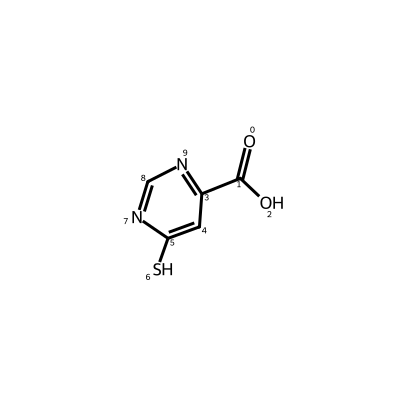 O=C(O)c1cc(S)ncn1